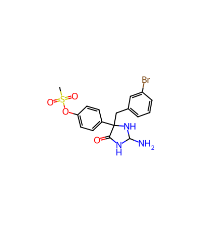 CS(=O)(=O)Oc1ccc(C2(Cc3cccc(Br)c3)NC(N)NC2=O)cc1